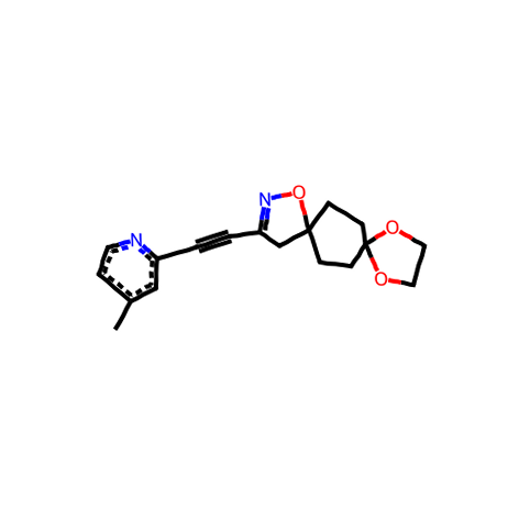 Cc1ccnc(C#CC2=NOC3(CCC4(CC3)OCCO4)C2)c1